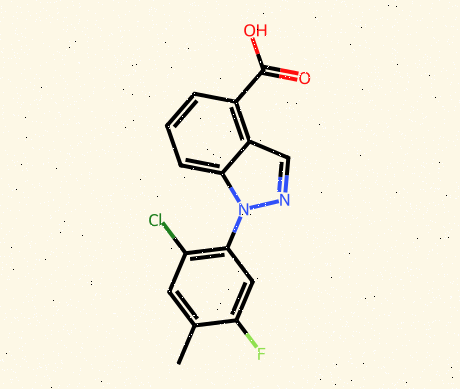 Cc1cc(Cl)c(-n2ncc3c(C(=O)O)cccc32)cc1F